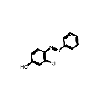 Oc1ccc(N=Nc2ccccc2)c(Cl)c1